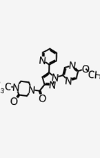 COc1cnc(-n2nc(C(=O)N3CCN(C)C(=O)C3)cc2-c2ccccn2)cn1